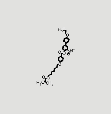 C=C(C)C(=O)OCCCCCCCOc1ccc(C(=O)Oc2ccc(-c3ccc(OCCC)cc3)cc2[N+](=O)[O-])cc1